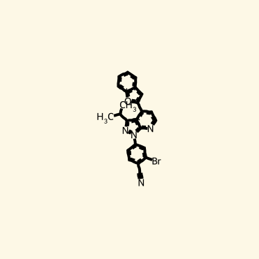 CC(C)c1nn(-c2ccc(C#N)c(Br)c2)c2nccc(-c3cc4ccccc4o3)c12